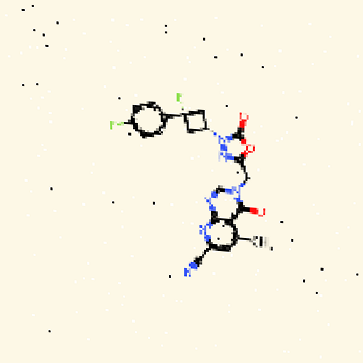 Cc1cc(C#N)nc2ncn(Cc3nn([C@H]4C[C@](F)(c5ccc(F)cc5)C4)c(=O)o3)c(=O)c12